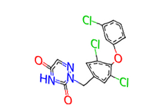 O=c1cnn(Cc2cc(Cl)c(Oc3cccc(Cl)c3)c(Cl)c2)c(=O)[nH]1